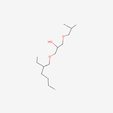 CCCCC(CC)COCC(O)COCC(C)C